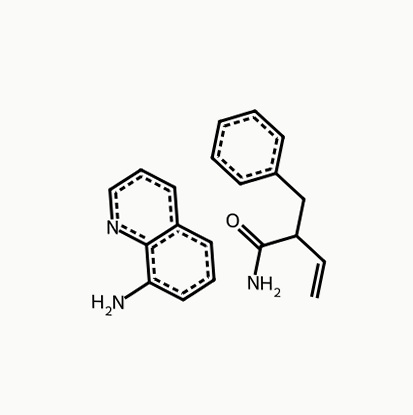 C=CC(Cc1ccccc1)C(N)=O.Nc1cccc2cccnc12